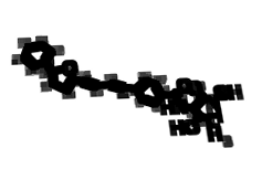 CC(O)C(NC(=O)c1ccc(C#CC#Cc2ccc(-c3ccccc3)o2)cc1)C(=O)NO